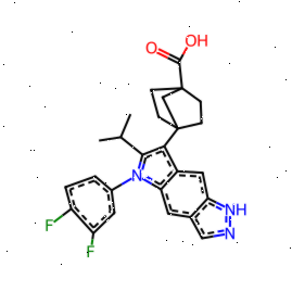 CC(C)c1c(C23CCC(C(=O)O)(CC2)C3)c2cc3[nH]ncc3cc2n1-c1ccc(F)c(F)c1